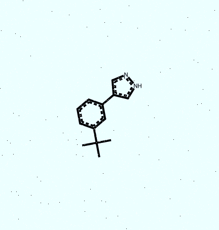 CC(C)(C)c1cccc(-c2cn[nH]c2)c1